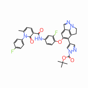 Cc1ccc(C(=O)Nc2ccc(Oc3cc4cnn5c4c(c3-c3cnn(C(=O)OC(C)(C)C)c3)CC5)c(F)c2)c(=O)n1-c1ccc(F)cc1